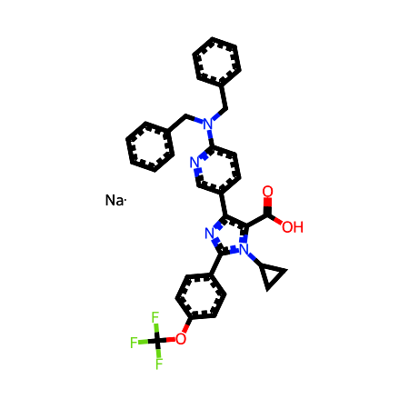 O=C(O)c1c(-c2ccc(N(Cc3ccccc3)Cc3ccccc3)nc2)nc(-c2ccc(OC(F)(F)F)cc2)n1C1CC1.[Na]